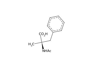 CC(=O)N[C@](C)(Cc1ccccc1)C(=O)O